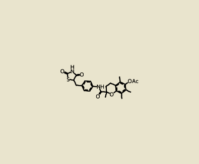 CC(=O)Oc1c(C)c(C)c2c(c1C)CCC(C)(C(=O)Nc1ccc(CC3SC(=O)NC3=O)cc1)O2